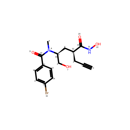 C#CC[C@@H](C[C@@H](CO)N(C)C(=O)c1ccc(Br)cc1)C(=O)NO